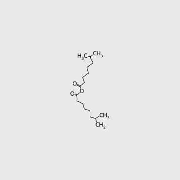 CC(C)CCCCCC(=O)OC(=O)CCCCCC(C)C